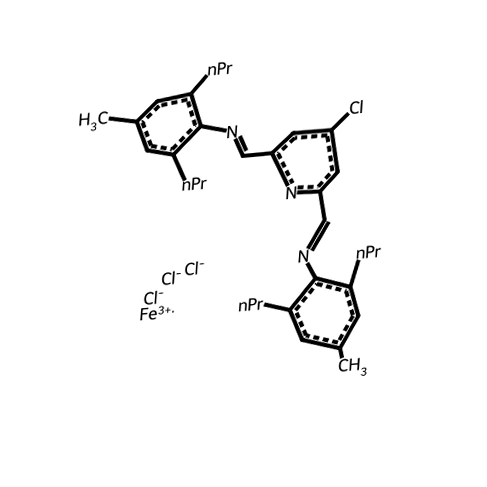 CCCc1cc(C)cc(CCC)c1N=Cc1cc(Cl)cc(C=Nc2c(CCC)cc(C)cc2CCC)n1.[Cl-].[Cl-].[Cl-].[Fe+3]